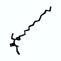 CC[CH]NC(CC)OCCCCCCCCCCCCC